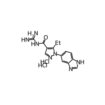 CCc1c(C(=O)NC(=N)N)cnn1-c1ccc2[nH]cnc2c1.Cl.Cl